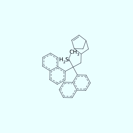 C[SiH2]C(CC1CC2C=CC1C2)(c1cccc2ccccc12)c1cccc2ccccc12